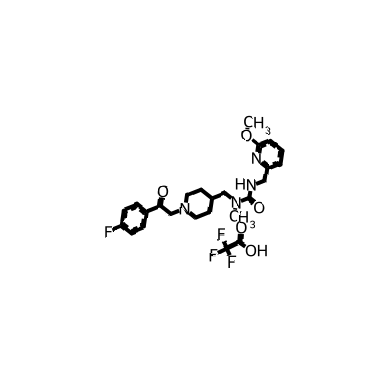 COc1cccc(CNC(=O)N(C)CC2CCN(CC(=O)c3ccc(F)cc3)CC2)n1.O=C(O)C(F)(F)F